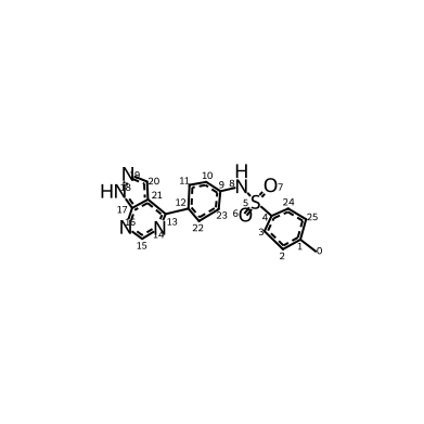 Cc1ccc(S(=O)(=O)Nc2ccc(-c3ncnc4[nH]ncc34)cc2)cc1